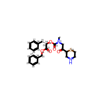 CN(CC(=O)C1CNCCS1)C(=O)O[C@@H](Cc1ccccc1)C(=O)OCc1ccccc1